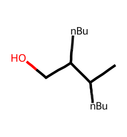 CCCCC(C)C(CO)CCCC